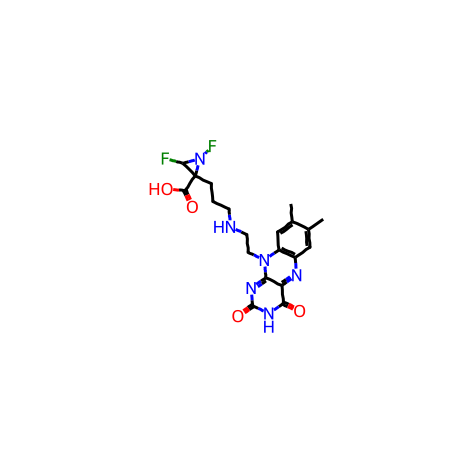 Cc1cc2nc3c(=O)[nH]c(=O)nc-3n(CCNCCCC3(C(=O)O)C(F)N3F)c2cc1C